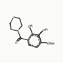 CCCc1c(OC)ccc(C(=O)N2CCSCC2)c1O